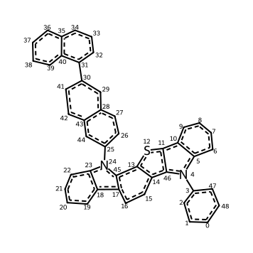 c1ccc(-n2c3ccccc3c3sc4c(ccc5c6ccccc6n(-c6ccc7cc(-c8cccc9ccccc89)ccc7c6)c54)c32)cc1